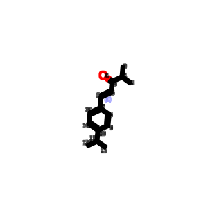 CC(C)C(=O)/C=C/c1ccc(C(C)C)cc1